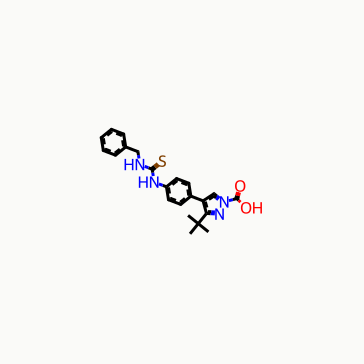 CC(C)(C)c1nn(C(=O)O)cc1-c1ccc(NC(=S)NCc2ccccc2)cc1